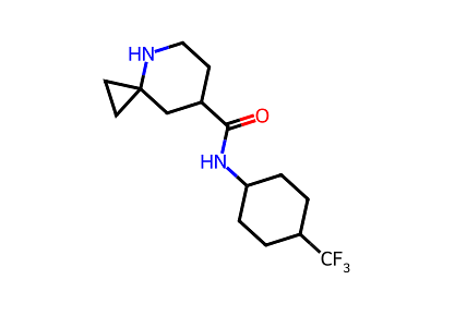 O=C(NC1CCC(C(F)(F)F)CC1)C1CCNC2(CC2)C1